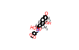 C[C@]12C=CC(=O)C=C1CC[C@@H]1[C@@H]2[C@@H](O)C[C@@]2(C)[C@H]1C[C@H]1CN(Cc3ccc4c(c3)OCCO4)O[C@]12C(=O)CO